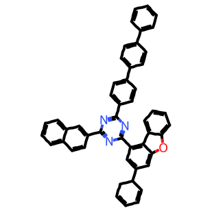 C1=CCC(c2cc(-c3nc(-c4ccc(-c5ccc(-c6ccccc6)cc5)cc4)nc(-c4ccc5ccccc5c4)n3)c3c(c2)oc2ccccc23)C=C1